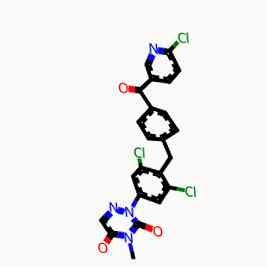 Cn1c(=O)cnn(-c2cc(Cl)c(Cc3ccc(C(=O)c4ccc(Cl)nc4)cc3)c(Cl)c2)c1=O